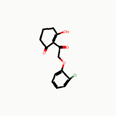 O=C1CCCC(O)=C1C(=O)COc1ccccc1Cl